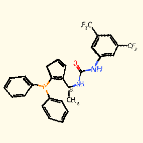 C[C@H](NC(=O)Nc1cc(C(F)(F)F)cc(C(F)(F)F)c1)C1=C(P(c2ccccc2)c2ccccc2)CC=C1